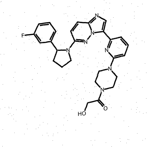 O=C(CO)N1CCN(c2cccc(-c3cnc4ccc(N5CCCC5c5cccc(F)c5)nn34)n2)CC1